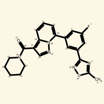 Cc1nc(-c2cc(F)cc(-c3cccc4c(C(=O)N5CCCCC5)cnn34)c2)no1